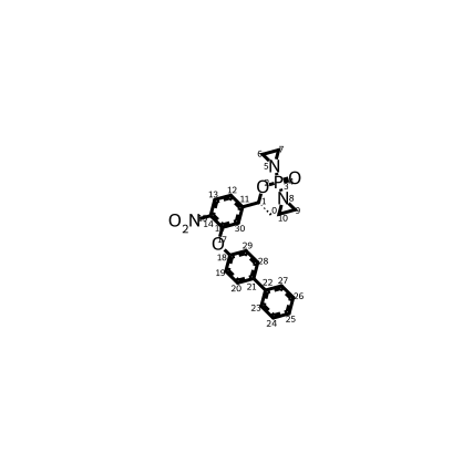 C[C@@H](OP(=O)(N1CC1)N1CC1)c1ccc([N+](=O)[O-])c(Oc2ccc(-c3ccccc3)cc2)c1